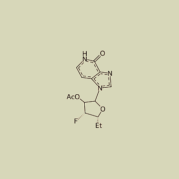 CC[C@H]1OC(n2cnc3c(=O)[nH]ccc32)C(OC(C)=O)[C@H]1F